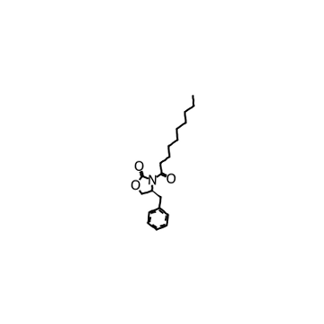 CCCCCCCCCC(=O)N1C(=O)OC[C@@H]1Cc1ccccc1